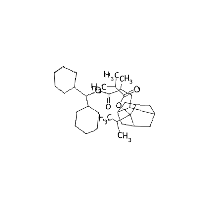 CC(C)C(=O)OC1(C(C)C)C2CC3CC1CC(C2)C3CC(C)C(=O)OC(C1CCCCC1)C1CCCCC1